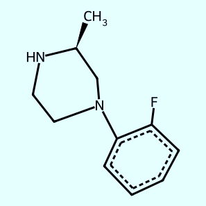 C[C@H]1CN(c2ccccc2F)CCN1